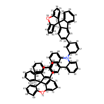 c1ccc(-c2ccc(-c3ccccc3N(c3cccc(-c4ccc5c(c4)-c4ccccc4C54c5ccccc5Oc5ccccc54)c3)c3cccc(-c4ccc5c(c4)-c4ccccc4C54c5ccccc5Oc5ccccc54)c3)cc2)cc1